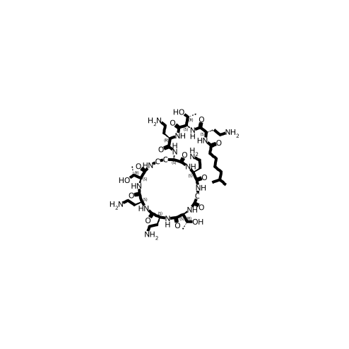 CC(C)CCCCC(=O)N[C@@H](CCN)C(=O)N[C@H](C(=O)N[C@H](CCN)C(=O)N[C@H]1CCNC(=O)[C@H]([C@@H](C)O)NC(=O)[C@H](CCN)NC(=O)[C@H](CCN)NC(=O)[C@H]([C@@H](C)O)NC(=O)CNC(=O)[C@H](CCN)NC1=O)[C@@H](C)O